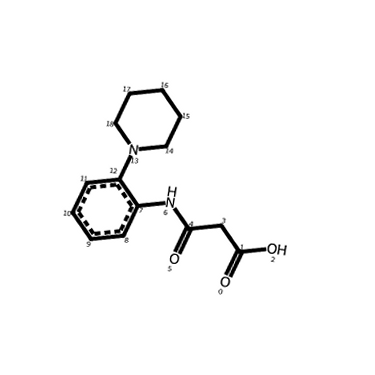 O=C(O)CC(=O)Nc1ccccc1N1CCCCC1